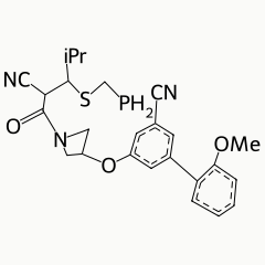 COc1ccccc1-c1cc(C#N)cc(OC2CN(C(=O)C(C#N)C(SCP)C(C)C)C2)c1